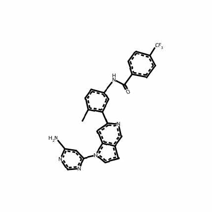 Cc1ccc(NC(=O)c2ccc(C(F)(F)F)cc2)cc1-c1cc2c(ccn2-c2cc(N)ncn2)cn1